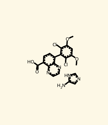 COc1cc(OC)c(Cl)c(-c2ccc(C(=O)O)c3nccnc23)c1Cl.Nc1cnc[nH]1